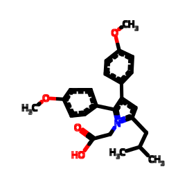 COc1ccc(-c2cc(CC(C)C)n(CC(=O)O)c2-c2ccc(OC)cc2)cc1